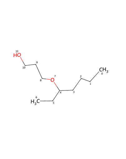 CCCCC(CC)OCCCO